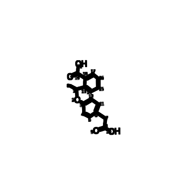 CC(Oc1ccc(CC(=O)O)cc1)c1ccccc1C(=O)O